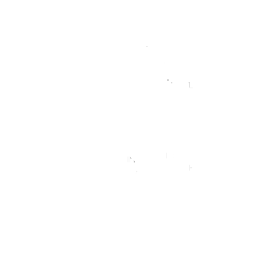 CCN(c1cccc(CNC(=O)c2ccc(F)cc2)c1)C1CC1.Cl.Cl